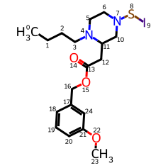 CCCCN1CCN(SI)CC1CC(=O)OCc1cccc(OC)c1